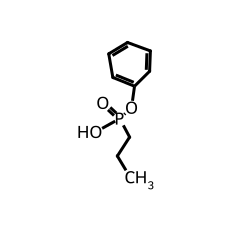 CCCP(=O)(O)Oc1ccccc1